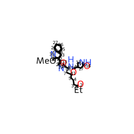 CCC(=O)CCCCC[C@H](NC(=O)C1CNC(=O)C1)c1ncc(-c2cc3ccccc3nc2OC)o1